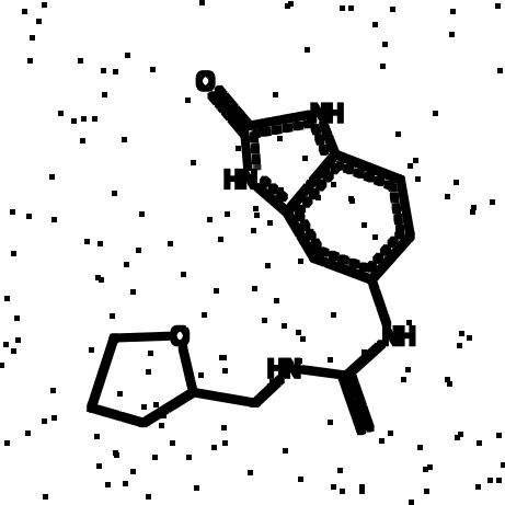 C=C(NCC1CCCO1)Nc1ccc2[nH]c(=O)[nH]c2c1